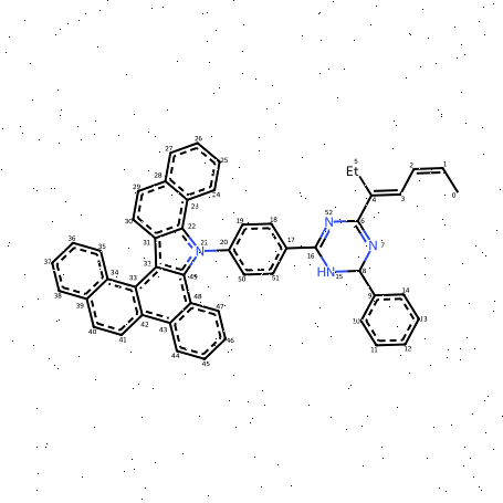 C/C=C\C=C(/CC)C1=NC(c2ccccc2)NC(c2ccc(-n3c4c5ccccc5ccc4c4c5c6ccccc6ccc5c5ccccc5c43)cc2)=N1